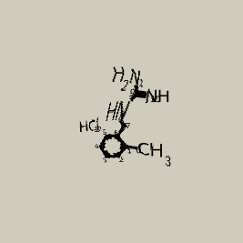 Cc1ccccc1CNC(=N)N.Cl